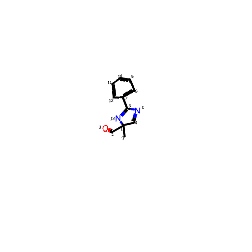 CC1(C=O)C=NC(c2ccccc2)=N1